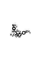 Cc1oc2ncn(C3CCN(C)CC3)c(=O)c2c1C(=O)Nc1ccc(N)cc1